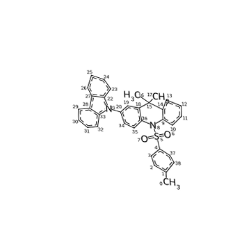 Cc1ccc(S(=O)(=O)N2c3ccccc3C(C)(C)c3cc(-n4c5ccccc5c5ccccc54)ccc32)cc1